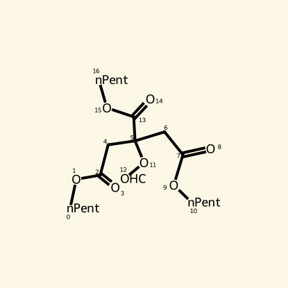 CCCCCOC(=O)CC(CC(=O)OCCCCC)(OC=O)C(=O)OCCCCC